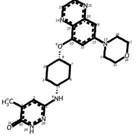 Cc1cc(N[C@H]2CC[C@@H](Oc3cc(N4CCOCC4)cc4nccnc34)CC2)n[nH]c1=O